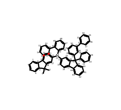 CC1(C)c2ccccc2-c2ccc(N(c3ccc4c(c3)C(c3ccccc3)(c3cccc(-c5ccccc5)c3)c3ccccc3-4)c3ccccc3-c3ccccc3)cc21